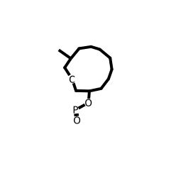 CC1CCCCCCCC(OP=O)CCC1